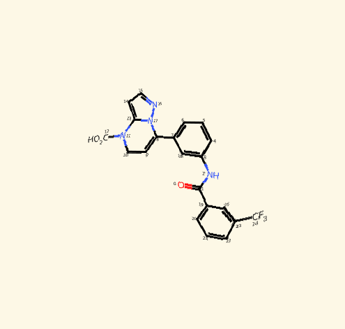 O=C(Nc1cccc(C2=CCN(C(=O)O)c3ccnn32)c1)c1cccc(C(F)(F)F)c1